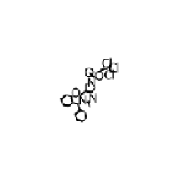 Cc1nc2c(c(=O)n1C(c1ccccc1)c1ccccc1)CN(C(=O)OCC(Cl)(Cl)Cl)C2